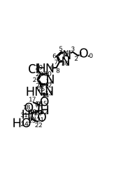 COCCn1ccc(CNc2nc3nc(O[C@@H]4CO[C@H]5[C@@H]4OC[C@H]5O)[nH]c3cc2Cl)n1